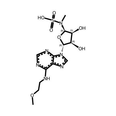 COCCNc1ncnc2c1ncn2[C@@H]1O[C@@H](N(C)S(=O)(=O)O)[C@@H](O)[C@H]1O